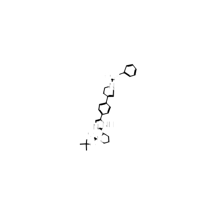 CC(C)(C)OC(=O)N1CCC[C@H]1c1ncc(-c2ccc(C3=CCN(C(=O)OCc4ccccc4)CC3)cc2)[nH]1